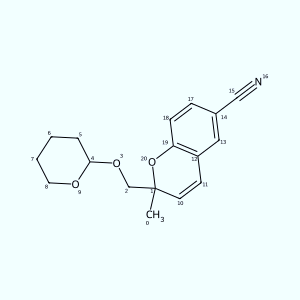 CC1(COC2CCCCO2)C=Cc2cc(C#N)ccc2O1